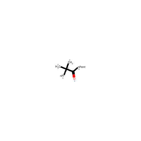 CCCCCC(=O)C(C)(C)CCC